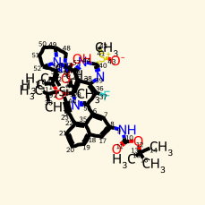 CC1Oc2nc(-c3cc(NC(=O)OC(C)(C)C)cc4cccc(C#C[Si](C(C)C)(C(C)C)C(C)C)c34)c(F)c3nc([S+](C)[O-])nc(c23)N2CC3CCC(C12)N3C(=O)O